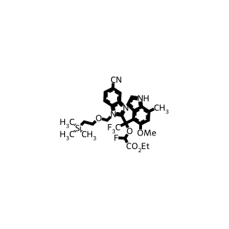 CCOC(=O)C(F)OC(c1c(OC)cc(C)c2[nH]ccc12)(c1nc2cc(C#N)ccc2n1COCC[Si](C)(C)C)C(F)(F)F